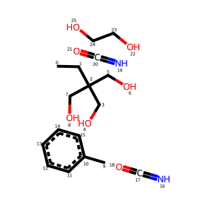 CCC(CO)(CO)CO.Cc1ccccc1.N=C=O.N=C=O.OCCO